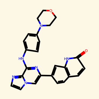 O=c1ccc2ccc(-c3cn4ccnc4c(Nc4ccc(N5CCOCC5)cc4)n3)cc2[nH]1